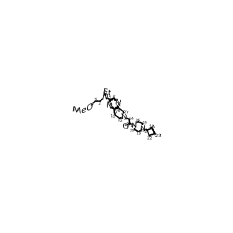 CCN(CCOC)c1cnc2c(n1)CCN(CC(=O)N1CCN(C3CCC3)CC1)C2